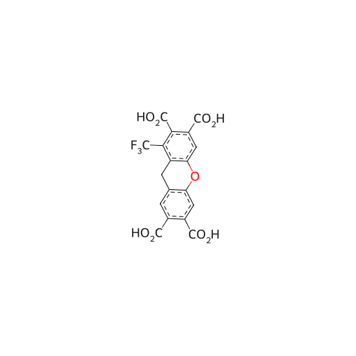 O=C(O)c1cc2c(cc1C(=O)O)Oc1cc(C(=O)O)c(C(=O)O)c(C(F)(F)F)c1C2